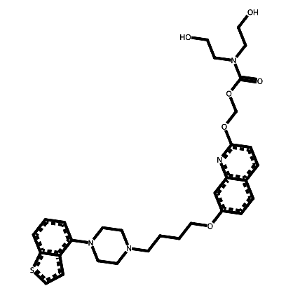 O=C(OCOc1ccc2ccc(OCCCCN3CCN(c4cccc5sccc45)CC3)cc2n1)N(CCO)CCO